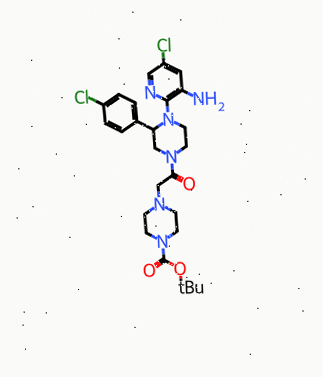 CC(C)(C)OC(=O)N1CCN(CC(=O)N2CCN(c3ncc(Cl)cc3N)C(c3ccc(Cl)cc3)C2)CC1